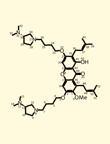 COc1c(OCCCCN2CC[C@@H](N(C)C)C2)cc2oc3cc(OCCCCN4CC[C@H](N(C)C)C4)c(CC=C(C)C)c(O)c3c(=O)c2c1CC=C(C)C